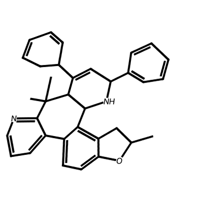 CC1Cc2c(ccc3c2C2NC(c4ccccc4)C=C(C4C=CC=CC4)C2C(C)(C)c2ncccc2-3)O1